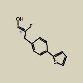 O/C=C(\F)Cc1ccc(-c2cccs2)cc1